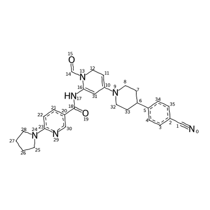 N#Cc1ccc(C2CCN(C3=CCN(C=O)C(NC(=O)c4ccc(N5CCCC5)nc4)=C3)CC2)cc1